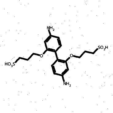 Nc1ccc(-c2ccc(N)cc2OCCCS(=O)(=O)O)c(OCCCS(=O)(=O)O)c1